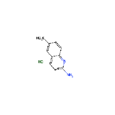 Cl.Nc1ccc2cc(C(=O)O)ccc2n1